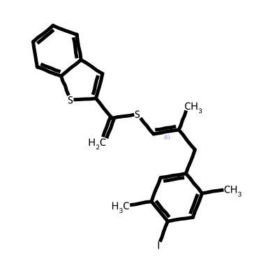 C=C(S/C=C(\C)Cc1cc(C)c(I)cc1C)c1cc2ccccc2s1